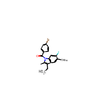 COc1cc2c(CC(=O)O)c(C)n(C(=O)c3ccc(Br)cc3)c2cc1F